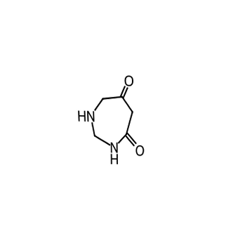 O=C1CNCNC(=O)C1